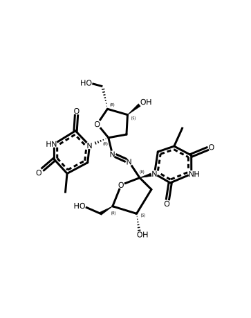 Cc1cn([C@@]2(N=N[C@]3(n4cc(C)c(=O)[nH]c4=O)C[C@H](O)[C@@H](CO)O3)C[C@H](O)[C@@H](CO)O2)c(=O)[nH]c1=O